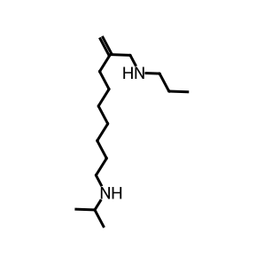 C=C(CCCCCCCNC(C)C)CNCCC